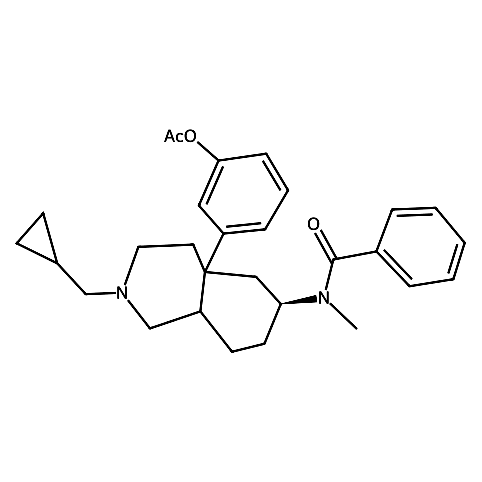 CC(=O)Oc1cccc(C23CCN(CC4CC4)CC2CC[C@H](N(C)C(=O)c2ccccc2)C3)c1